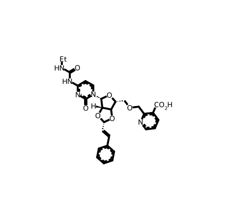 CCNC(=O)Nc1ccn([C@@H]2O[C@H](COCc3ncccc3C(=O)O)C3O[C@H](/C=C/c4ccccc4)O[C@@H]32)c(=O)n1